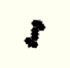 C=C1c2ccccc2N(c2ccc3cc4cc(N5c6ccccc6C(C)(C)c6ccccc65)ccc4cc3c2)c2ccccc21